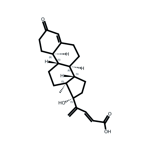 C=C(C=CC(=O)O)[C@]1(O)CC[C@H]2[C@@H]3CCC4=CC(=O)CC[C@@H]4[C@H]3CC[C@@]21C